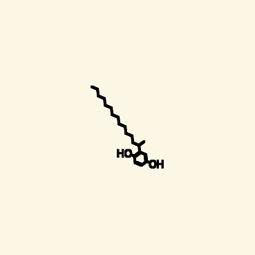 CCCCCCCCCCCCCC(C)c1cc(O)ccc1O